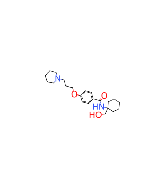 O=C(NC1(CO)CCCCC1)c1ccc(OCCCN2CCCCC2)cc1